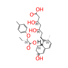 CC[C@H](Oc1ccc(C)cc1)C(=O)O[C@H]1C[C@H](O)C=C2C=C[C@@H](C)[C@H](CC[C@@H](O)C[C@@H](O)CC(=O)O)[C@H]21